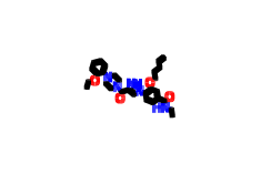 C=CCCCOc1cc(C(=O)NCC)ccc1-n1cc(C(=O)N2CCN(c3ccccc3OCC)CC2)nn1